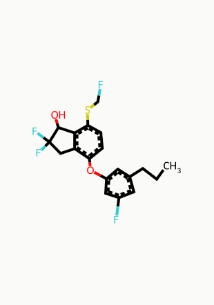 CCCc1cc(F)cc(Oc2ccc(SCF)c3c2CC(F)(F)C3O)c1